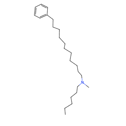 CCCCCCN(C)CCCCCCCCCCCc1ccccc1